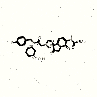 CNC(=O)NC1=CC=C2C(CC(=O)[C@]23CN(CC(=O)N(Cc2ccc(F)cc2)[C@H]2CCC[C@@H](C(=O)O)C2)CO3)C1=O